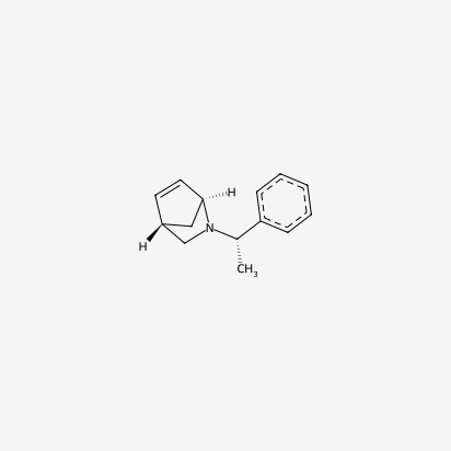 C[C@@H](c1ccccc1)N1C[C@@H]2C=C[C@@H]1C2